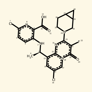 C[C@@H](Nc1ccc(Cl)nc1C(=O)O)c1cc(Cl)cn2c(=O)c(F)c(N3CCC4CC4C3)nc12